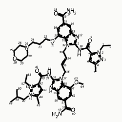 CCn1nc(C)cc1C(=O)Nc1nc2cc(C(N)=O)cc(OCCCN3CCOCC3)c2n1C/C=C/Cn1c(NC(=O)c2cc(C)[n+](CC(C)C)n2CC)nc2cc(C(N)=O)cc(OC)c21